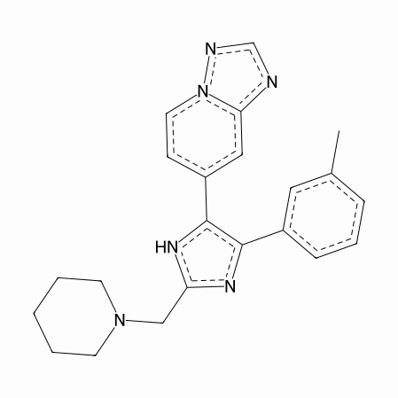 Cc1cccc(-c2nc(CN3CCCCC3)[nH]c2-c2ccn3ncnc3c2)c1